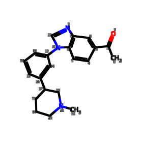 CC(=O)c1ccc2c(c1)ncn2-c1cccc(C2CCCN(C)C2)c1